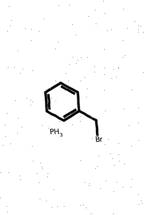 BrCc1ccccc1.P